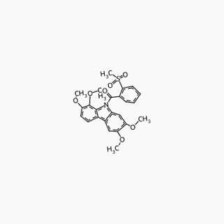 COc1cc2c3ccc(OC)c(OC)c3n(C(=O)c3ccccc3S(C)(=O)=O)c2cc1OC